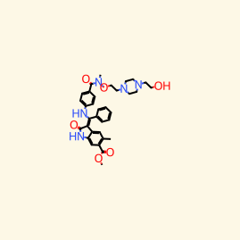 COC(=O)c1cc2c(cc1C)/C(=C(/Nc1ccc(C(=O)N(C)OCCN3CCN(CCO)CC3)cc1)c1ccccc1)C(=O)N2